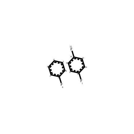 Fc1cc[c]cc1.Fc1ccc(F)cc1